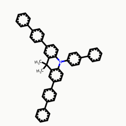 CC1(C)c2cc(-c3ccc(-c4ccccc4)cc3)ccc2N(c2ccc(-c3ccccc3)cc2)c2ccc(-c3ccc(-c4ccccc4)cc3)cc21